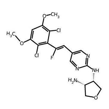 COc1cc(OC)c(Cl)c(/C(F)=C/c2cnc(N[C@@H]3COC[C@@H]3N)nc2)c1Cl